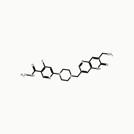 CCc1cc2ncc(CN3CCN(c4cc(F)c(C(=O)NC)cn4)CC3)cc2[nH]c1=O